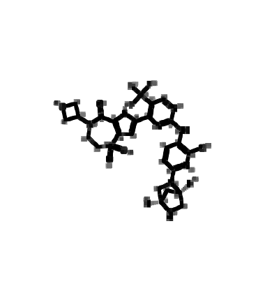 O=C1c2sc(-c3nc(Nc4ccc(N5C[C@H]6C[C@@H]5CN6)nc4Cl)ncc3C(F)(F)F)cc2S(=O)(=O)CCN1C1COC1